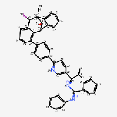 CC(C)/C(=N\C(=N/c1ccccc1)c1ccccc1)c1ccc(-c2ccc(-c3cccc4c3C3c5ccccc5[C@H](C4I)C34C=C=C4)cc2)nc1